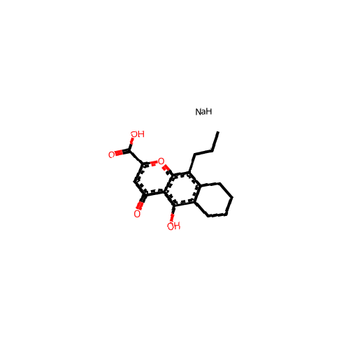 CCCc1c2c(c(O)c3c(=O)cc(C(=O)O)oc13)CCCC2.[NaH]